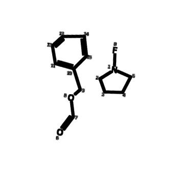 FN1CCCC1.O=COCc1ccccc1